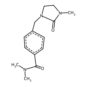 CN(C)C(=O)c1ccc(CN2CCN(C)C2=O)cc1